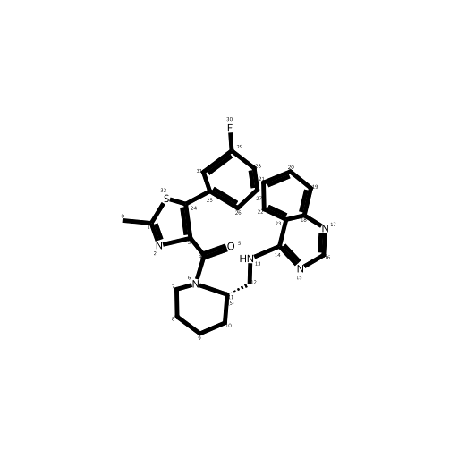 Cc1nc(C(=O)N2CCCC[C@H]2CNc2ncnc3ccccc23)c(-c2cccc(F)c2)s1